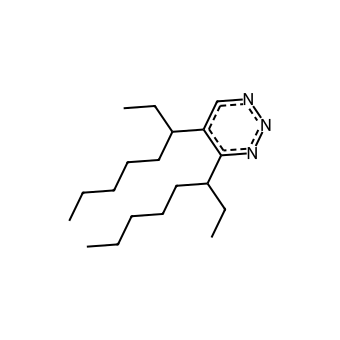 CCCCCC(CC)c1cnnnc1C(CC)CCCCC